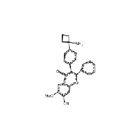 COc1cc2c(=O)c(-c3ccc(C4(N)CCC4)cc3)c(-c3ccccc3)oc2cc1C#N